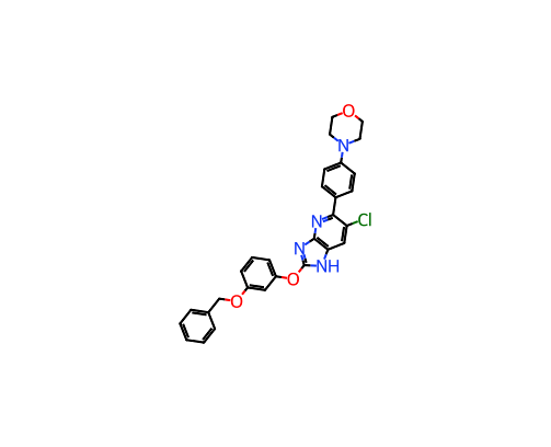 Clc1cc2[nH]c(Oc3cccc(OCc4ccccc4)c3)nc2nc1-c1ccc(N2CCOCC2)cc1